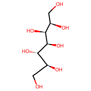 OC[C@@H](O)[C@H](O)[C@@H](O)[C@@H](O)[C@@H](O)CO